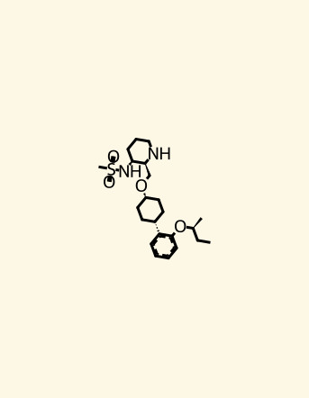 CC[C@H](C)Oc1ccccc1[C@H]1CC[C@@H](OC[C@@H]2NCCC[C@@H]2NS(C)(=O)=O)CC1